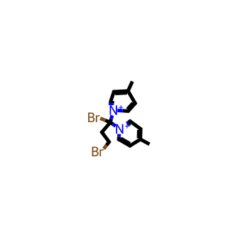 Cc1cc[n+](C(Br)(CCBr)[n+]2ccc(C)cc2)cc1